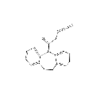 [N-]=[N+]=NCC(=O)N1c2ccccc2CCc2ccccc21